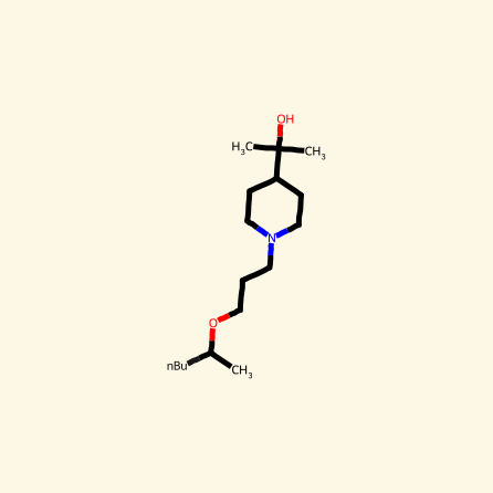 CCCCC(C)OCCCN1CCC(C(C)(C)O)CC1